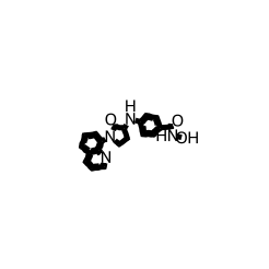 O=C(NO)c1ccc(NC2CCN(c3cccc4cccnc34)C2=O)cc1